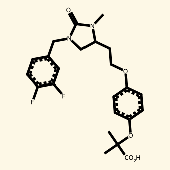 CN1C(=O)N(Cc2ccc(F)c(F)c2)CC1CCOc1ccc(OC(C)(C)C(=O)O)cc1